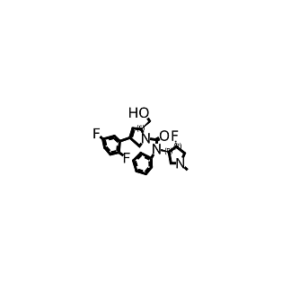 CN1C[C@@H](F)[C@H](N(C(=O)N2CC(c3cc(F)ccc3F)=C[C@H]2CO)c2ccccc2)C1